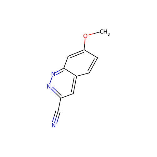 COc1ccc2cc(C#N)nnc2c1